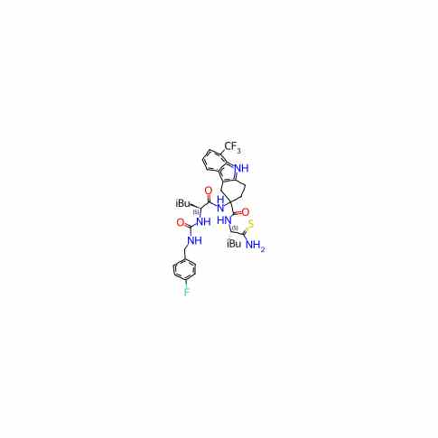 CCC(C)[C@H](NC(=O)NCc1ccc(F)cc1)C(=O)NC1(C(=O)N[C@H](C(N)=S)C(C)CC)CCc2[nH]c3c(C(F)(F)F)cccc3c2C1